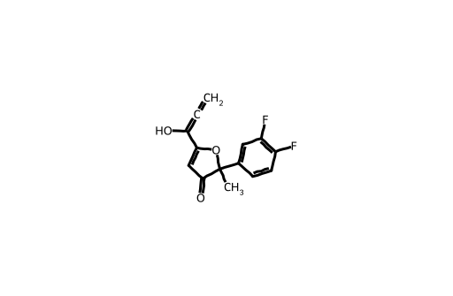 C=C=C(O)C1=CC(=O)C(C)(c2ccc(F)c(F)c2)O1